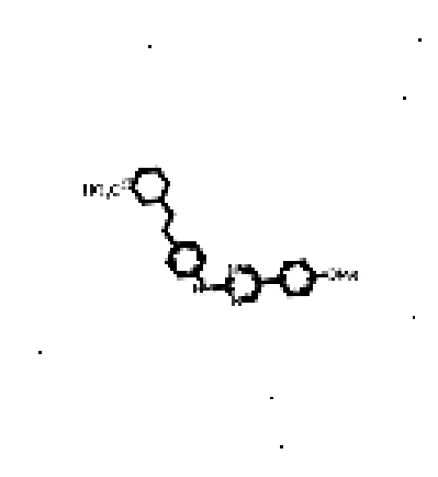 COc1ccc(-c2cnc(Nc3ccc(CCC4CCC[C@@H](C(=O)O)C4)cc3)nc2)cc1